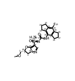 COC[C@H]1Cn2ncc([S@@](N)(=O)=NC(=O)Nc3c4c(c(F)c5c3CCC5)CCC4)c2O1